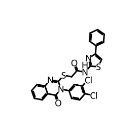 O=C(CSc1nc2ccccc2c(=O)n1-c1ccc(Cl)c(Cl)c1)Nc1nc(-c2ccccc2)cs1